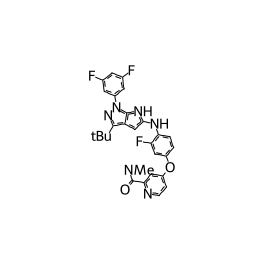 CNC(=O)c1cc(Oc2ccc(Nc3cc4c(C(C)(C)C)nn(-c5cc(F)cc(F)c5)c4[nH]3)c(F)c2)ccn1